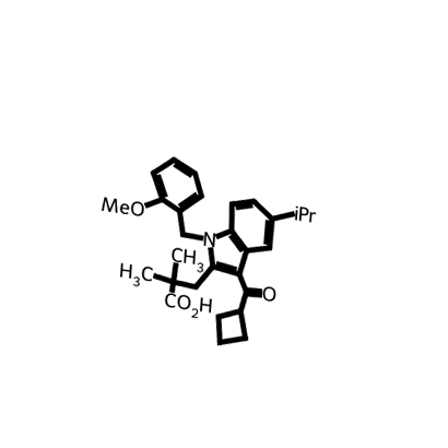 COc1ccccc1Cn1c(CC(C)(C)C(=O)O)c(C(=O)C2CCC2)c2cc(C(C)C)ccc21